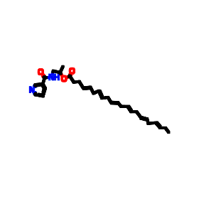 CCC=CCC=CCC=CCC=CCC=CCC=CCCC(=O)OC(C)CNC(=O)c1cccnc1